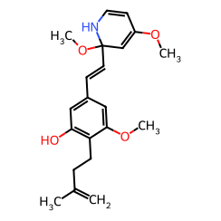 C=C(C)CCc1c(O)cc(C=CC2(OC)C=C(OC)C=CN2)cc1OC